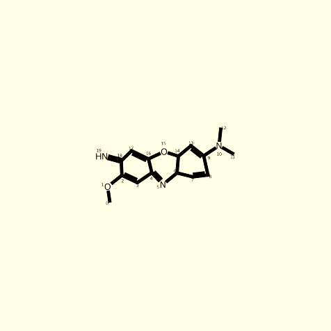 COC1=CC2=NC3C=CC(N(C)C)=CC3OC2=CC1=N